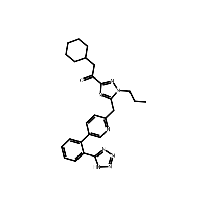 CCCn1nc(C(=O)CC2CCCCC2)nc1Cc1ccc(-c2ccccc2-c2nnn[nH]2)cn1